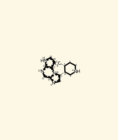 C[C@@H]1CCNC[C@@H]1c1cnc2cnc3[nH]ccc3n12